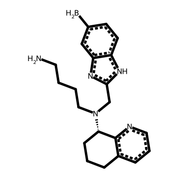 Bc1ccc2[nH]c(CN(CCCCN)[C@H]3CCCc4cccnc43)nc2c1